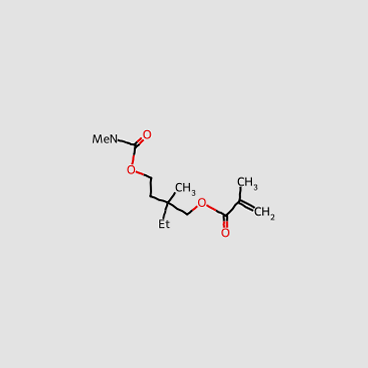 C=C(C)C(=O)OCC(C)(CC)CCOC(=O)NC